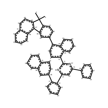 CC1(C)c2ccc(-c3ccc(-c4nc(-c5ccccc5)cc(-c5ccccc5-c5ccc6ccccc6c5)n4)c4ccccc34)cc2-c2c1ccc1ccccc21